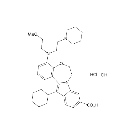 COCCN(CCN1CCCCC1)c1cccc2c1OCCn1c-2c(C2CCCCC2)c2ccc(C(=O)O)cc21.Cl.Cl